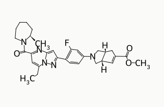 CCc1cc(C(=O)N2CCCCC[C@H]2C)nc2cc(-c3ccc(N4C[C@@H]5CC(C(=O)OC)=C[C@@H]5C4)cc3F)nn12